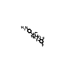 CCn1c(-c2ccc(N)cc2)nnc1C(C)(C)Oc1c(F)cc(F)cc1F